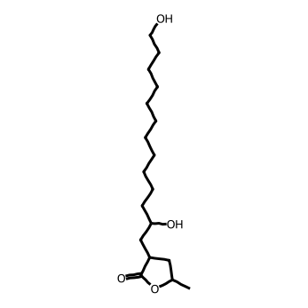 CC1CC(CC(O)CCCCCCCCCCCO)C(=O)O1